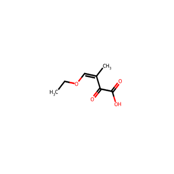 CCOC=C(C)C(=O)C(=O)O